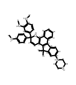 COc1ccc(C2(c3ccc(OC)c(OC)c3)C=Cc3c4c(c5ccccc5c3O2)-c2ccc(N3CCOCC3)cc2C4(C)C)cc1